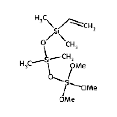 C=C[Si](C)(C)O[Si](C)(C)O[Si](OC)(OC)OC